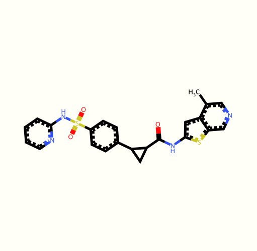 Cc1cncc2sc(NC(=O)C3CC3c3ccc(S(=O)(=O)Nc4ccccn4)cc3)cc12